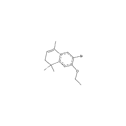 CCOc1cc2c(cc1Br)C(C)=CCC2(C)C